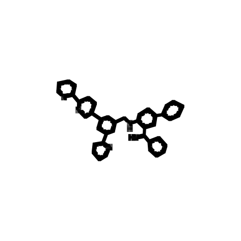 N=C(c1ccccc1)c1cc(-c2ccccc2)ccc1NCc1cc(-c2ccc(-c3ccccn3)nc2)cc(-c2ccccn2)c1